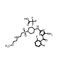 COCCNCCS(=O)(=O)N1CCC(Nc2nc(N)c(C(=O)c3c(F)cccc3F)s2)CC1.O=C(O)C(F)(F)F